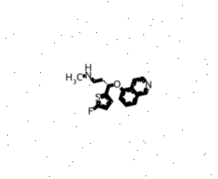 CNCC[C@H](Oc1cccc2cnccc12)c1ccc(F)s1